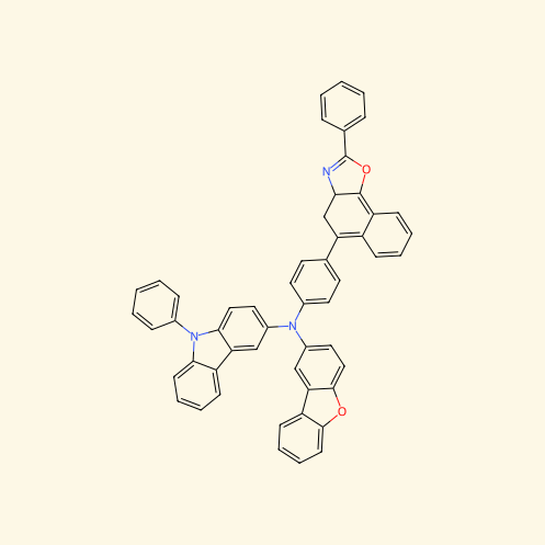 c1ccc(C2=NC3CC(c4ccc(N(c5ccc6oc7ccccc7c6c5)c5ccc6c(c5)c5ccccc5n6-c5ccccc5)cc4)=c4ccccc4=C3O2)cc1